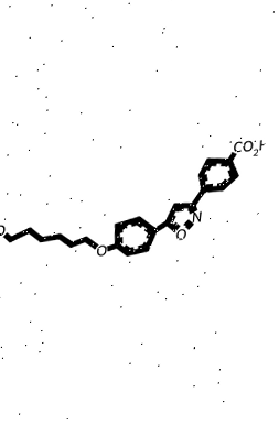 COCCCCCCOc1ccc(-c2cc(-c3ccc(C(=O)O)cc3)no2)cc1